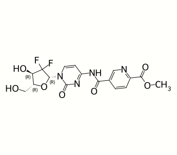 COC(=O)c1ccc(C(=O)Nc2ccn([C@@H]3O[C@H](CO)[C@@H](O)C3(F)F)c(=O)n2)cn1